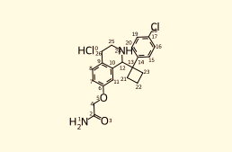 Cl.NC(=O)COc1ccc2c(c1)C(C1(c3ccc(Cl)cc3)CCC1)NCC2